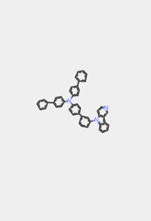 c1ccc(-c2ccc(N(c3ccc(-c4ccccc4)cc3)c3ccc(-c4cccc(-n5c6ccccc6c6cnccc65)c4)cc3)cc2)cc1